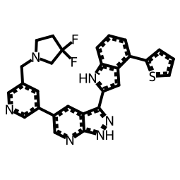 FC1(F)CCN(Cc2cncc(-c3cnc4[nH]nc(-c5cc6c(-c7cccs7)cccc6[nH]5)c4c3)c2)C1